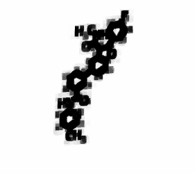 CNC(=O)C1c2cc(-c3cccc(C(=O)Nc4ccc(C)cn4)c3)ccc2OC1c1ccc(F)cc1